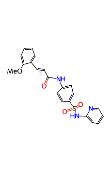 COc1ccccc1/C=C/C(=O)Nc1ccc(S(=O)(=O)Nc2ccccn2)cc1